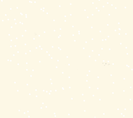 COc1ccc2cccc(CCCS(=O)(=O)O)c2c1